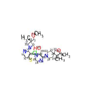 COCC1(C)CN(c2nccc(Sc3cnc(N4CCC5(CC4)CO[C@@H](C)[C@H]5C)c(CO)n3)c2Cl)C1